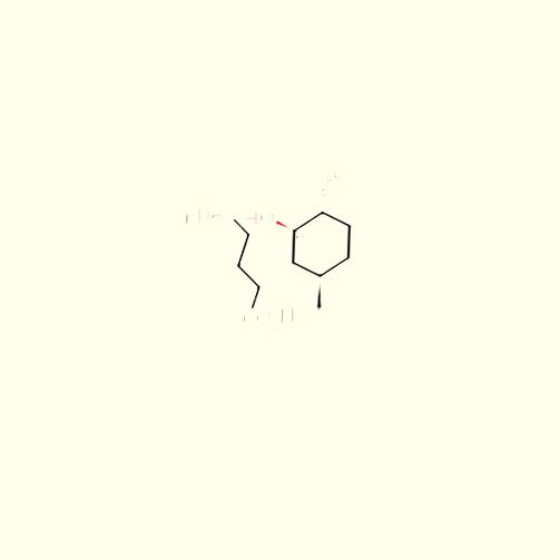 CC(C)[C@@H]1CC[C@@H](C)C[C@H]1O.CCCCCCCCCCCCCC(=O)O